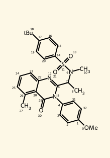 COc1ccc(-n2c(C(C)N(C)S(=O)(=O)c3ccc(C(C)(C)C)cc3)nc3cccc(C)c3c2=O)cc1